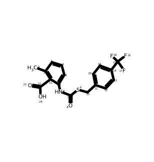 Cc1cccc(NC(=O)SCc2ccc(C(F)(F)F)cc2)c1C(=O)O